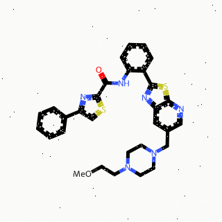 COCCN1CCN(Cc2cnc3sc(-c4ccccc4NC(=O)c4nc(-c5ccccc5)cs4)nc3c2)CC1